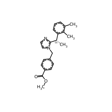 COC(=O)c1ccc(Cn2ccnc2[C@@H](C)c2cccc(C)c2C)cc1